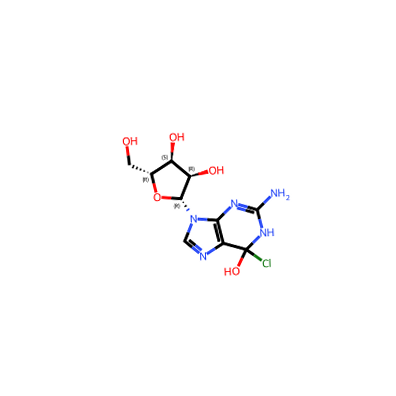 NC1=Nc2c(ncn2[C@@H]2O[C@H](CO)[C@@H](O)[C@H]2O)C(O)(Cl)N1